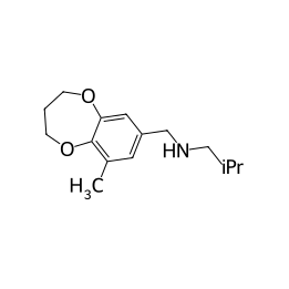 Cc1cc(CNCC(C)C)cc2c1OCCCO2